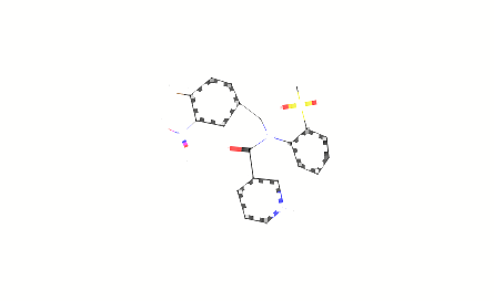 CS(=O)(=O)c1ccccc1N(Cc1ccc(Br)c([N+](=O)[O-])c1)C(=O)c1cccnc1